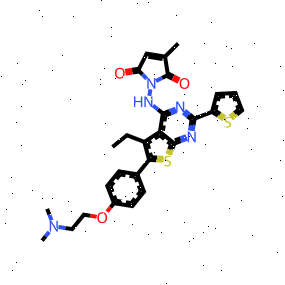 CCc1c(-c2ccc(OCCN(C)C)cc2)sc2nc(-c3cccs3)nc(NN3C(=O)C=C(C)C3=O)c12